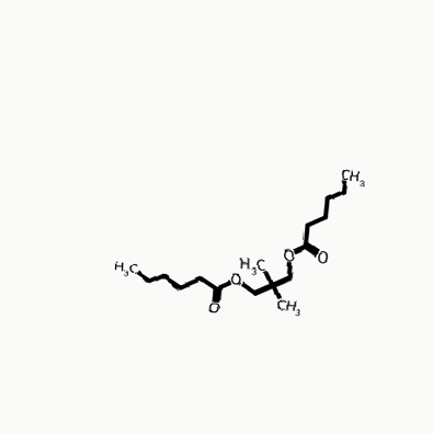 CCCCCC(=O)OCC(C)(C)COC(=O)CCCCC